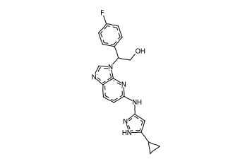 OCC(c1ccc(F)cc1)n1cnc2ccc(Nc3cc(C4CC4)[nH]n3)nc21